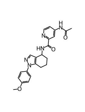 COc1ccc(-n2ncc3c2CCCC3NC(=O)c2cc(NC(C)=O)ccn2)cc1